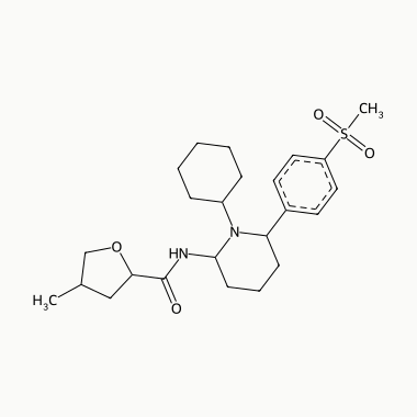 CC1COC(C(=O)NC2CCCC(c3ccc(S(C)(=O)=O)cc3)N2C2CCCCC2)C1